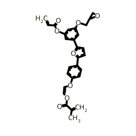 C=CC(=O)Oc1cc(OCC2CO2)cc(-c2ccc(-c3ccc(O/C=C\OC(=O)C(=C)C)cc3)o2)c1